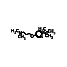 CN(C)CCCOc1cc[c]([Sn]([CH3])([CH3])[CH3])nc1